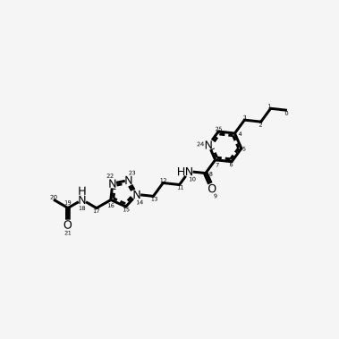 CCCCc1ccc(C(=O)NCCCn2cc(CNC(C)=O)nn2)nc1